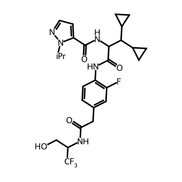 CC(C)n1nccc1C(=O)NC(C(=O)Nc1ccc(CC(=O)NC(CO)C(F)(F)F)cc1F)C(C1CC1)C1CC1